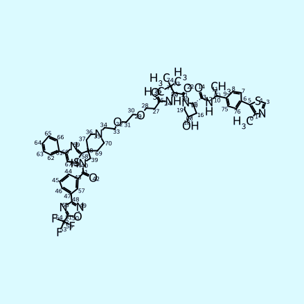 Cc1ncsc1-c1ccc([C@H](C)NC(=O)[C@@H]2C[C@@H](O)CN2C(=O)[C@@H](NC(=O)CCOCCOCCN2CCC(CNC(=O)c3cccc(-c4noc(C(F)(F)F)n4)c3)(c3nc(-c4ccccc4)cs3)CC2)C(C)(C)C)cc1